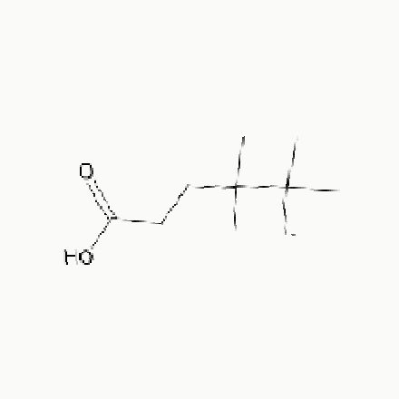 [CH2]C(C)(C)C(C)(C)CCC(=O)O